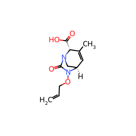 C=CCON1C(=O)N2C[C@H]1C=C(C)[C@H]2C(=O)O